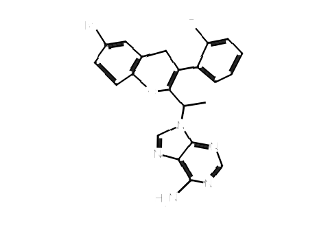 CC(C1=C(c2ccccc2F)Cc2cc(Br)ccc2O1)n1cnc2c(N)ncnc21